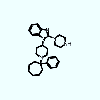 c1ccc(C2(N3CCC(n4c(N5CCNCC5)nc5ccccc54)CC3)CCCCCC2)cc1